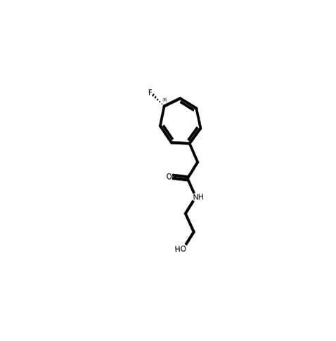 O=C(CC1=CC=C[C@@H](F)C=C1)NCCO